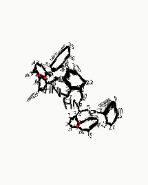 c1ccc(C(CP(c2ccccc2)c2ccccc2)NCc2ccccc2CNC(CP(c2ccccc2)c2ccccc2)c2ccccc2)cc1